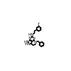 Fc1cccc(CCNc2nc3c4c(n2)N(Cc2ccccc2)CCC4NN3)c1